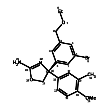 CCOCc1cc(Br)cc([C@@]2(c3ccc(OC)c(C)c3)COC(N)=N2)c1